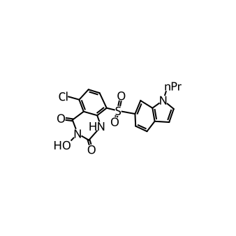 CCCn1ccc2ccc(S(=O)(=O)c3ccc(Cl)c4c(=O)n(O)c(=O)[nH]c34)cc21